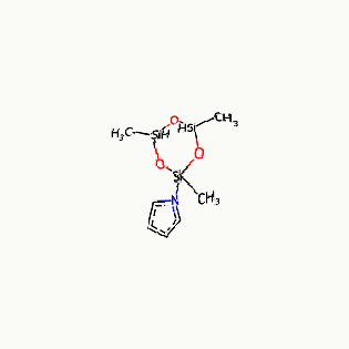 C[SiH]1O[SiH](C)O[Si](C)(n2cccc2)O1